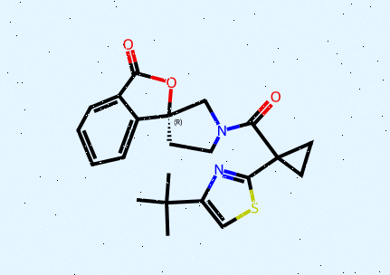 CC(C)(C)c1csc(C2(C(=O)N3CC[C@@]4(C3)OC(=O)c3ccccc34)CC2)n1